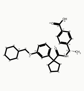 C[C@H](NC(=O)C1(c2cccc(OCC3CCCCC3)c2)CCCC1)c1ccc(C(=O)O)cc1